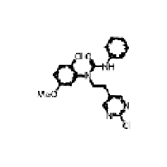 COc1ccc(Cl)c(N(CCc2cnc(Cl)nc2)C(=O)Nc2ccccc2)c1